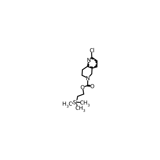 C[Si](C)(C)CCOC(=O)N1CCc2nc(Cl)ccc2C1